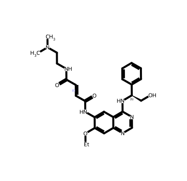 CCOc1cc2ncnc(N[C@H](CO)c3ccccc3)c2cc1NC(=O)/C=C/C(=O)NCCN(C)C